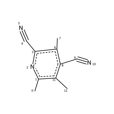 Cc1nc(C#N)c(C)c(C#N)c1C